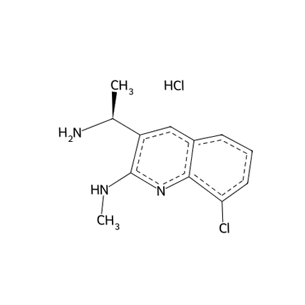 CNc1nc2c(Cl)cccc2cc1[C@H](C)N.Cl